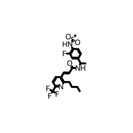 CCCCc1nc(C(F)(F)F)ccc1C=CC(=O)NC(C)c1ccc(NS(C)(=O)=O)c(F)c1